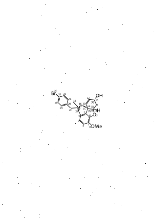 COc1ccc2c3c1O[C@H]1C[C@@H](O)C=C[C@@]31CC[N+](C)(Cc1ccc(Br)cc1)C2